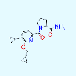 NC(=O)C1CCCN1C(=O)c1ccc(C2CC2)c(OCC2CC2)n1